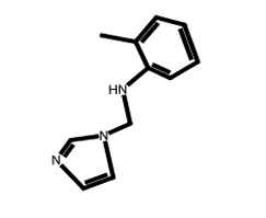 Cc1ccccc1NCn1ccnc1